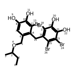 CCC(C)OCc1cc(O)c(O)c(Br)c1Cc1c(Br)c(O)c(O)c(Br)c1Br